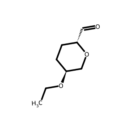 CCO[C@H]1CC[C@H](C=O)OC1